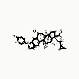 C[C@H]1C[C@@H]2[C@H]([C@@H](O)C[C@@]3(C)[C@H]2CC[C@]3(OC(=O)C2CC2)C(=O)S)[C@@]2(C)Cc3cnn(-c4ccc(F)nc4)c3C=C12